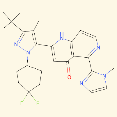 Cc1c(C(C)(C)C)nn(C2CCC(F)(F)CC2)c1-c1cc(=O)c2c(-c3nccn3C)nccc2[nH]1